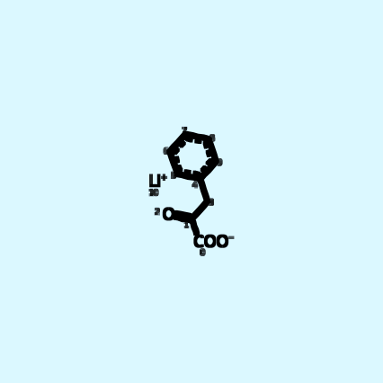 O=C([O-])C(=O)Cc1ccccc1.[Li+]